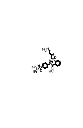 CC(C)N(C(C)C)S(=O)(=O)c1ccc(NC(=O)c2ccccc2S(=O)(=O)CC(F)=CCN)cc1.Cl